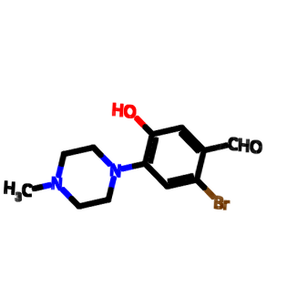 CN1CCN(c2cc(Br)c(C=O)cc2O)CC1